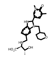 Cc1cc(C2Nc3ccc(CN[C@H](C(=O)O)[C@@H](C)O)cc3N2CC2CCCOC2)cn(C)c1=O